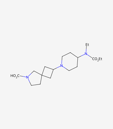 CCOC(=O)N(CC)C1CCN(C2CC3(CCN(C(=O)O)C3)C2)CC1